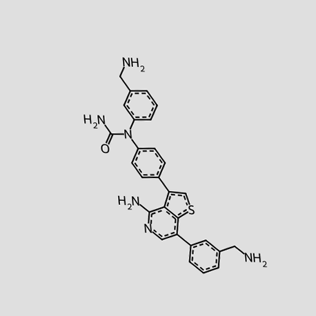 NCc1cccc(-c2cnc(N)c3c(-c4ccc(N(C(N)=O)c5cccc(CN)c5)cc4)csc23)c1